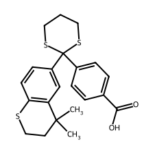 CC1(C)CCSc2ccc(C3(c4ccc(C(=O)O)cc4)SCCCS3)cc21